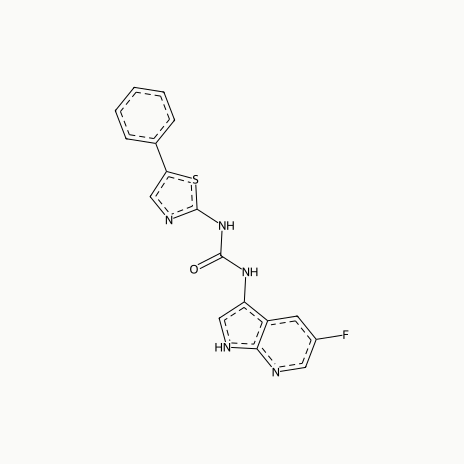 O=C(Nc1ncc(-c2ccccc2)s1)Nc1c[nH]c2ncc(F)cc12